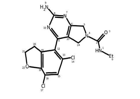 CCNC(=O)N1Cc2nc(N)nc(-c3c(Cl)cc(Cl)c4c3CCO4)c2C1